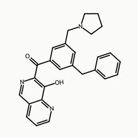 O=C(c1cc(Cc2ccccc2)cc(CN2CCCC2)c1)c1ncc2cccnc2c1O